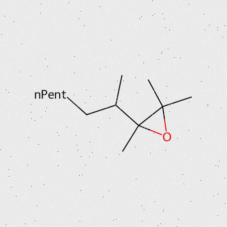 CCCCCCC(C)C1(C)OC1(C)C